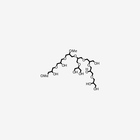 COCC(O)COCC(O)COCC(COC(COCC(CO)OCC(O)COCC(O)CO)COC(CO)CO)OC